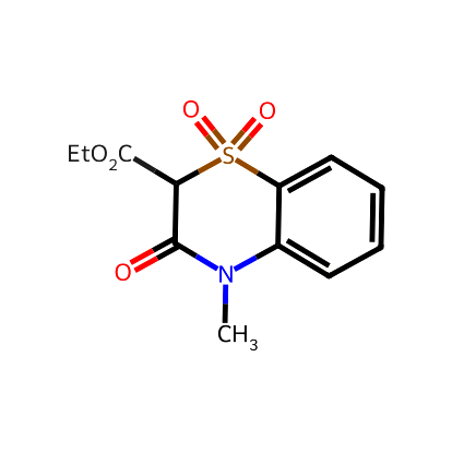 CCOC(=O)C1C(=O)N(C)c2ccccc2S1(=O)=O